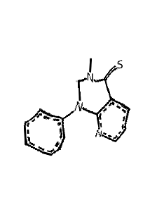 CN1CN(c2ccccc2)c2ncccc2C1=S